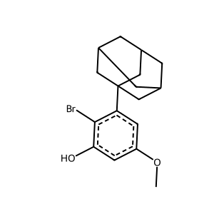 COc1cc(O)c(Br)c(C23CC4CC(CC(C4)C2)C3)c1